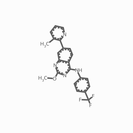 COc1nc(Nc2ccc(C(F)(F)F)cc2)c2ccc(-c3ncccc3C)cc2n1